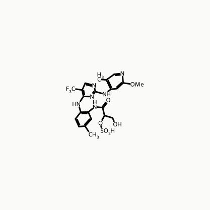 COc1cc(Nc2ncc(C(F)(F)F)c(Nc3ccc(C)cc3NC(=O)C(CO)OS(=O)(=O)O)n2)c(C)cn1